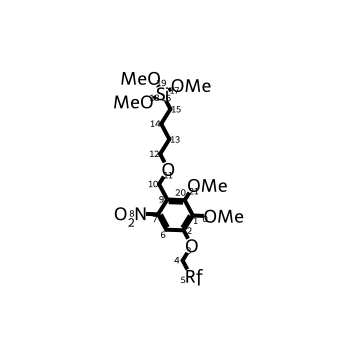 COc1c(O[CH2][Rf])cc([N+](=O)[O-])c(COCCCC[Si](OC)(OC)OC)c1OC